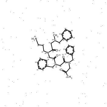 CC(=O)CN(Cc1ccccc1)C(=O)CN(Cc1ccccc1)C(=O)CN(CCCN)C(=O)CN(C)Cc1ccccc1